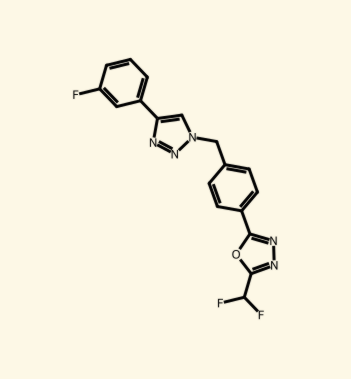 Fc1cccc(-c2cn(Cc3ccc(-c4nnc(C(F)F)o4)cc3)nn2)c1